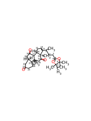 CC(CCB1OC(C)(C)C(C)(C)O1)C1=CC[C@H]2[C@@H]3C(=O)C[C@@H]4CC(=O)CC[C@]4(C)[C@H]3CC(=O)[C@@]12C